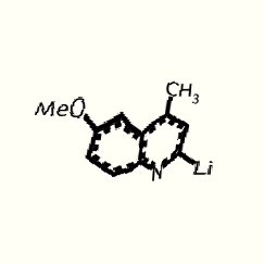 [Li][c]1cc(C)c2cc(OC)ccc2n1